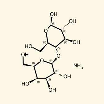 N.OC[C@H]1O[C@@H](O[C@H]2[C@H](O)[C@@H](O)[C@H](O)O[C@@H]2CO)[C@H](O)[C@@H](O)[C@H]1O